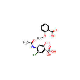 CC(=O)Nc1cc(O)c([As](=O)(O)O)cc1Cl.COc1ccccc1C(=O)O